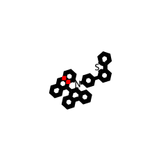 c1ccc(N(c2ccc(-c3cccc4c3sc3ccccc34)cc2)c2c(-c3cccc4ccccc34)c3ccccc3c3ccccc23)cc1